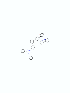 c1ccc(-c2nc(-c3ccccc3)nc(-c3ccc4sc5c(-c6ccc7c(c6)oc6cccc(-n8c9ccccc9c9ccccc98)c67)cccc5c4c3)n2)cc1